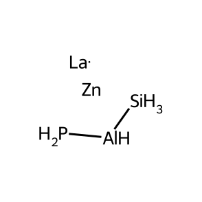 [La].[SiH3][AlH][PH2].[Zn]